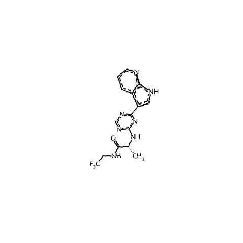 C[C@@H](Nc1ncnc(-c2c[nH]c3ncccc23)n1)C(=O)NCC(F)(F)F